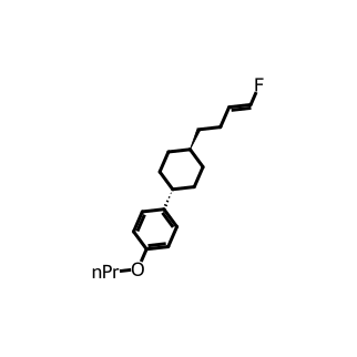 CCCOc1ccc([C@H]2CC[C@H](CC/C=C/F)CC2)cc1